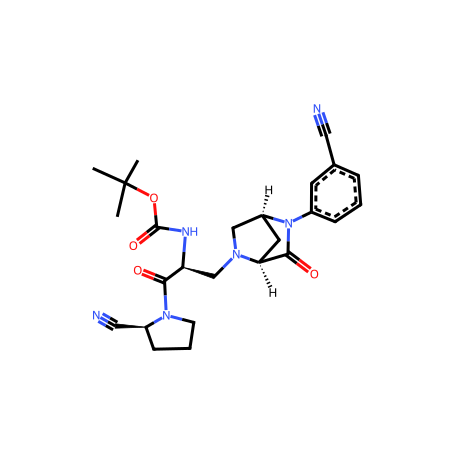 CC(C)(C)OC(=O)N[C@@H](CN1C[C@@H]2C[C@H]1C(=O)N2c1cccc(C#N)c1)C(=O)N1CCC[C@H]1C#N